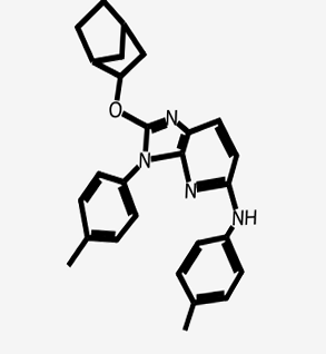 Cc1ccc(Nc2ccc3nc(OC4CC5CCC4C5)n(-c4ccc(C)cc4)c3n2)cc1